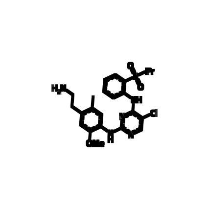 COc1cc(CCN)c(C)cc1Nc1ncc(Cl)c(Nc2ccccc2S(=O)(=O)C(C)C)n1